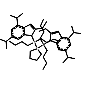 CCC[CH2][Ti]([CH2]CCC)([CH]1C(CC)=Cc2c(C(C)C)cc(C(C)C)cc21)[Si]1([Ti]([CH2]CCC)([CH2]CCC)[CH]2C(CC)=Cc3c(C(C)C)cc(C(C)C)cc32)CCCC1